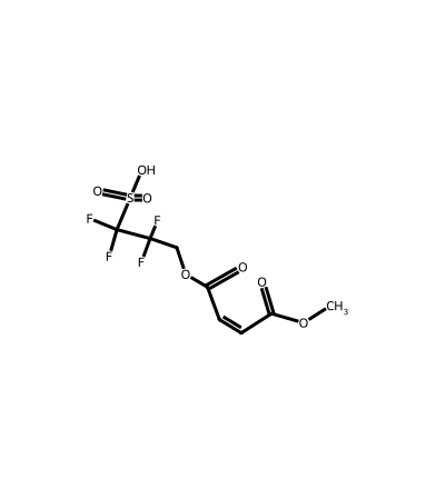 COC(=O)/C=C\C(=O)OCC(F)(F)C(F)(F)S(=O)(=O)O